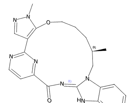 C[C@@H]1CCCOc2c(cnn2C)-c2nccc(n2)C(=O)/N=C2\Nc3ccccc3N2C1